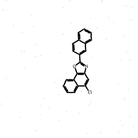 Clc1cc2nc(-c3ccc4ccccc4c3)oc2c2ccccc12